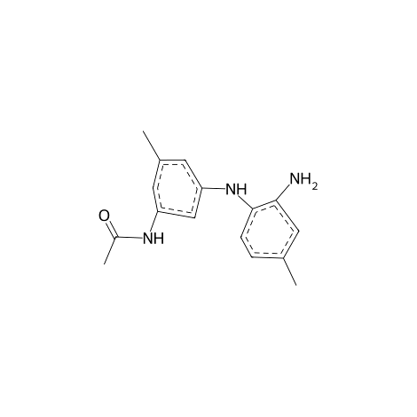 CC(=O)Nc1cc(C)cc(Nc2ccc(C)cc2N)c1